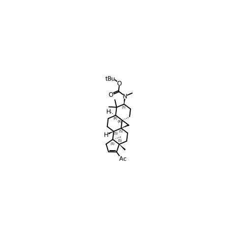 CC(=O)C1=CC[C@@]2(C)[C@@H]3CC[C@H]4C(C)(C)[C@@H](N(C)C(=O)OC(C)(C)C)CC[C@@]45C[C@@]35CC[C@]12C